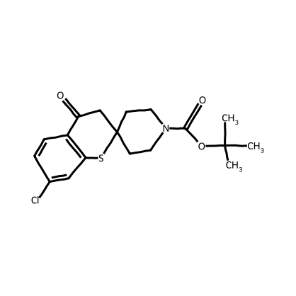 CC(C)(C)OC(=O)N1CCC2(CC1)CC(=O)c1ccc(Cl)cc1S2